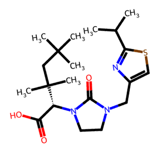 CC(C)c1nc(CN2CCN([C@H](C(=O)O)C(C)(C)CC(C)(C)C)C2=O)cs1